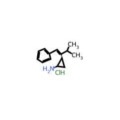 CC(C)C(=Cc1ccccc1)[C@@H]1CC1N.Cl